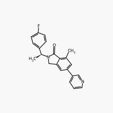 Cc1cc(-c2cccnc2)cc2c1C(=O)N([C@@H](C)c1ccc(F)cc1)C2